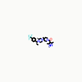 CC[C@@H](c1ccc(C(F)(F)F)cc1)N1CCN(C2(C)CCN(C(=O)c3c(C)nn(C)c3C)CC2)C[C@@H]1C